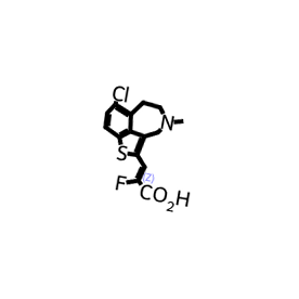 CN1CCc2c(Cl)ccc3sc(/C=C(\F)C(=O)O)c(c23)C1